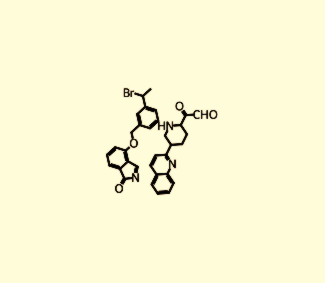 CC(Br)c1cccc(COc2cccc3c2C=NC3=O)c1.O=CC(=O)C1CCC(c2ccc3ccccc3n2)CN1